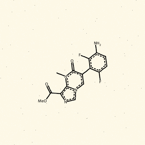 COC(=O)c1ncn2cc(-c3c(F)ccc(N)c3F)c(=O)n(C)c12